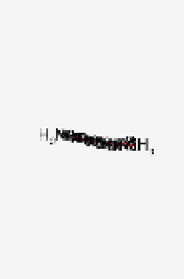 COC(=O)CCN1CCN(CCOCCOCCOCCOCCOCCOCCOCCOCCCCN)CC1